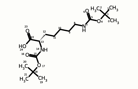 CC(C)(C)OC(=O)NCCCCC[C@H](NC(=O)OC(C)(C)C)C(=O)O